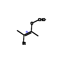 CC/C(C)=C(\C)O[C]=O